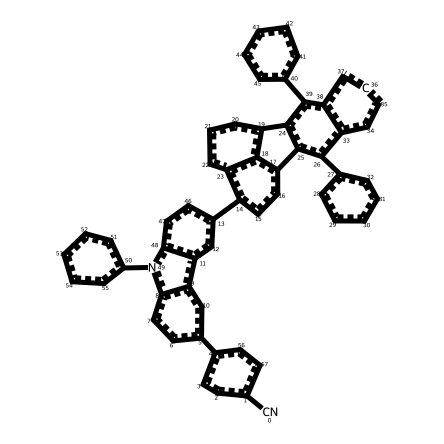 N#Cc1ccc(-c2ccc3c(c2)c2cc(-c4ccc5c6c(cccc46)-c4c-5c(-c5ccccc5)c5ccccc5c4-c4ccccc4)ccc2n3-c2ccccc2)cc1